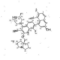 C#Cc1c(F)ccc2cc(O)cc(-c3ccc4c(N5C[C@H](C)N[C@@H](C)C5)c(C#N)c(OC[C@@]56CCCN5C[C@H](F)C6)nc4c3F)c12